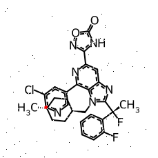 C[C@@](F)(c1ccccc1F)c1nc2cc(-c3noc(=O)[nH]3)nc(-c3cncc(Cl)c3)c2n1C[C@H]1CC[C@H](C)CC1